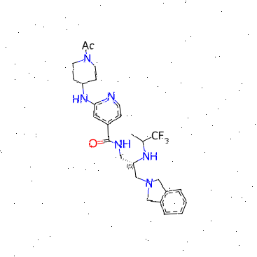 CC(=O)N1CCC(Nc2cc(C(=O)NC[C@@H](CN3Cc4ccccc4C3)NC(C)C(F)(F)F)ccn2)CC1